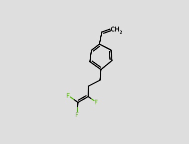 C=Cc1ccc(CCC(F)=C(F)F)cc1